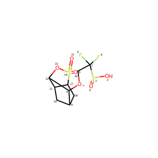 O=S(O)C(F)(F)COC1C2CC3C1OS(=O)(=O)C3C2